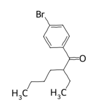 CCCCC(CC)C(=O)c1ccc(Br)cc1